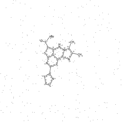 CCCC[S+]([O-])c1sc2nc(-c3nccs3)cc3c2c1[nH]n1c(C)c(C)nc31